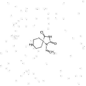 C=CN1C(=O)NC(=O)C12CCNCC2